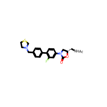 CC(=O)NC[C@H]1CN(c2ccc(-c3ccc(CN4CCSC4)cc3)c(F)c2)C(=O)O1